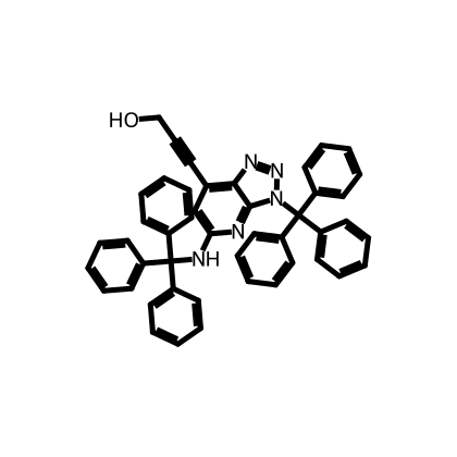 OCC#Cc1cc(NC(c2ccccc2)(c2ccccc2)c2ccccc2)nc2c1nnn2C(c1ccccc1)(c1ccccc1)c1ccccc1